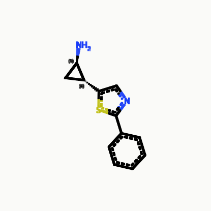 N[C@@H]1C[C@H]1c1cnc(-c2ccccc2)s1